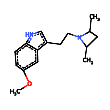 COc1ccc2[nH]cc(CCN3C(C)CC3C)c2c1